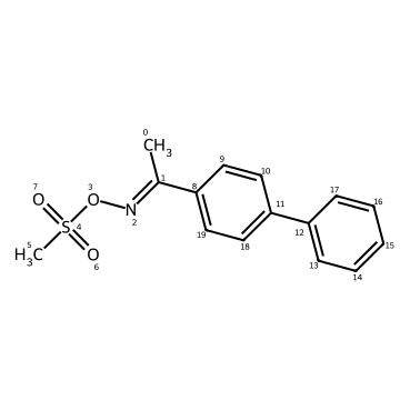 CC(=NOS(C)(=O)=O)c1ccc(-c2ccccc2)cc1